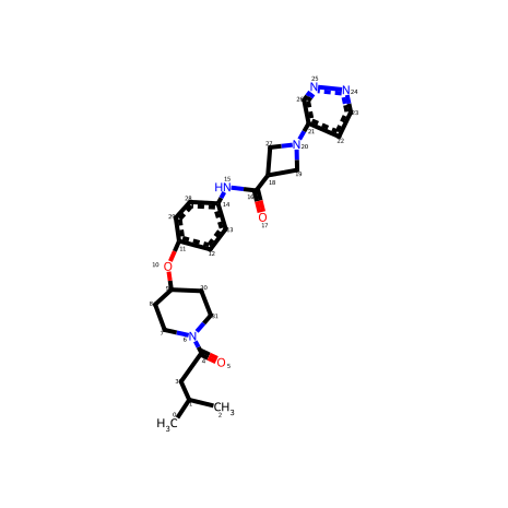 CC(C)CC(=O)N1CCC(Oc2ccc(NC(=O)C3CN(c4ccnnc4)C3)cc2)CC1